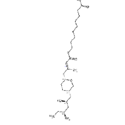 CC[C@H](C)C[C@@H](O)C[C@@H]1CC[C@H](C/C(C)=C/C(=O)OCCCCCCCCC(=O)O)OC1